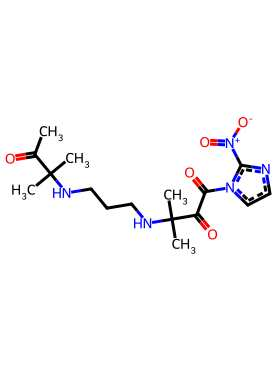 CC(=O)C(C)(C)NCCCNC(C)(C)C(=O)C(=O)n1ccnc1[N+](=O)[O-]